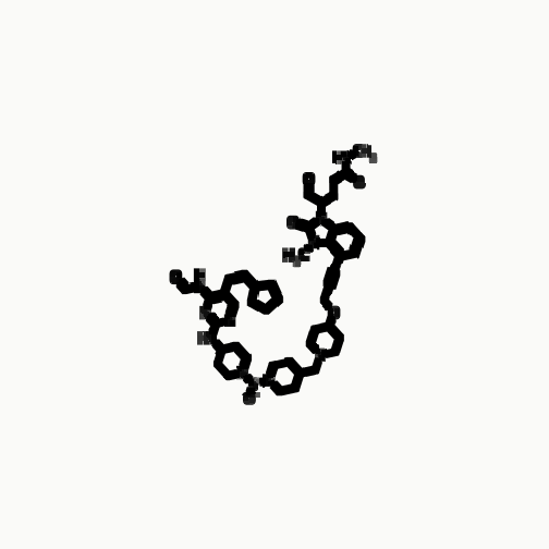 CNC(=O)CCC(C=O)n1c(=O)n(C)c2c(C#CCOC3CCN(CC4CCN([S+]([O-])N5CCC(Nc6ncc(/C=C\C7CCCC7)c(NC=O)n6)CC5)CC4)CC3)cccc21